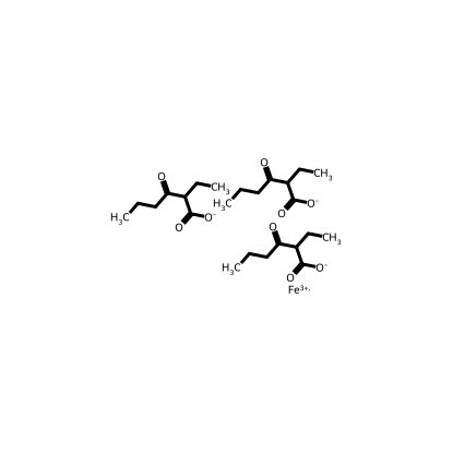 CCCC(=O)C(CC)C(=O)[O-].CCCC(=O)C(CC)C(=O)[O-].CCCC(=O)C(CC)C(=O)[O-].[Fe+3]